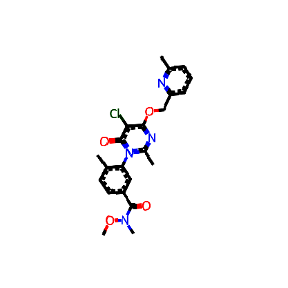 CON(C)C(=O)c1ccc(C)c(-n2c(C)nc(OCc3cccc(C)n3)c(Cl)c2=O)c1